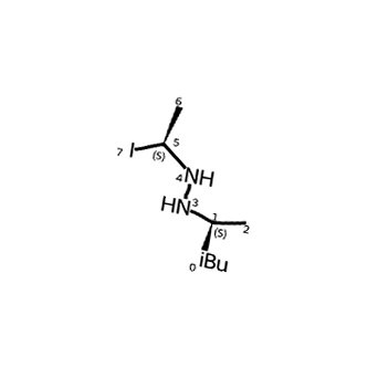 CCC(C)[C@H](C)NN[C@H](C)I